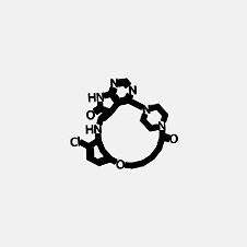 O=C1Nc2ncnc3c2/C1=C/NC1CC(=CC=C1Cl)OCCCCC(=O)N1CCN3CC1